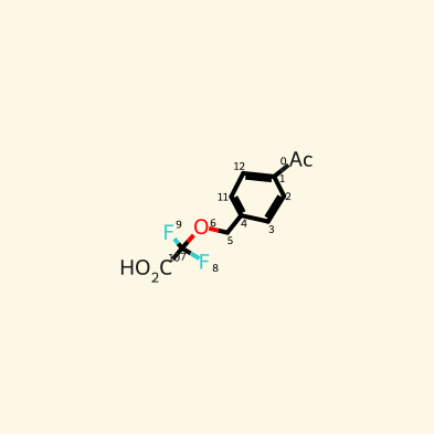 CC(=O)c1ccc(COC(F)(F)C(=O)O)cc1